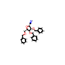 N#C[C@H]1O[C@H](COCc2ccccc2)[C@@H](OCc2ccccc2)[C@H]1OCc1ccccc1